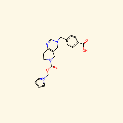 O=C(O)c1ccc(CN2C=NC3=C(C2)CN(C(=O)OCn2cccc2)CC3)cc1